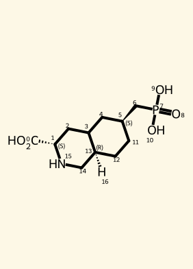 O=C(O)[C@@H]1CC2C[C@@H](CP(=O)(O)O)CC[C@H]2CN1